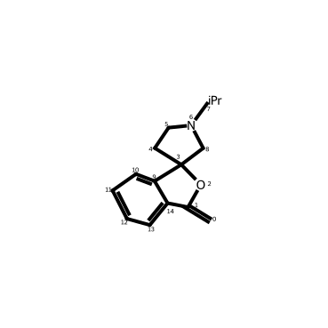 C=C1OC2(CCN(C(C)C)C2)c2ccccc21